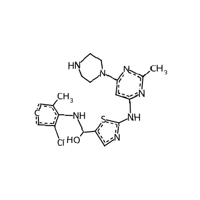 Cc1nc(Nc2ncc(C(O)Nc3c(C)cccc3Cl)s2)cc(N2CCNCC2)n1